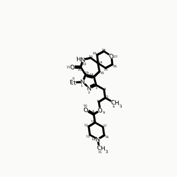 CCn1nc(CC(C)COC(=O)C2CCN(C)CC2)c2c1C(=O)NCC1(CCOCC1)C2